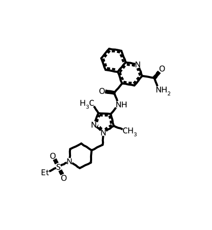 CCS(=O)(=O)N1CCC(Cn2nc(C)c(NC(=O)c3cc(C(N)=O)nc4ccccc34)c2C)CC1